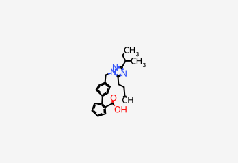 C#CCCc1nc(C(C)CC)nn1Cc1ccc(-c2ccccc2C(=O)O)cc1